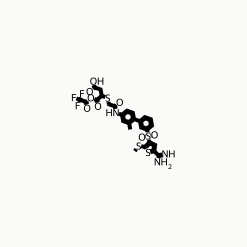 CSc1sc(C(=N)N)cc1S(=O)(=O)c1cccc(-c2ccc(NC(=O)CSC(CC(=O)O)C(=O)OC(=O)C(F)(F)F)cc2C)c1